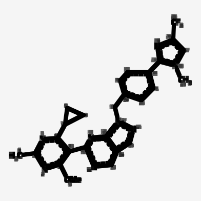 COc1nc(C)nc(C2CC2)c1-c1ncc2cnn(Cc3ccc(-c4nc(C(F)(F)F)cn4C)cc3)c2n1